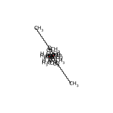 CCCCCCCCCCCCCCCCCCOC(=O)C(C)c1cc(C(C)(C)C)c(OP(F)Oc2c(C(C)(C)C)cc(C(C)C(=O)OCCCCCCCCCCCCCCCCCC)cc2C(C)(C)C)c(C(C)(C)C)c1